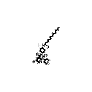 CCCCCCCCCCCC(=O)NC1CCC(n2c(=O)c3cc(F)cnc3n(C3CCSCC3)c2=O)CC1